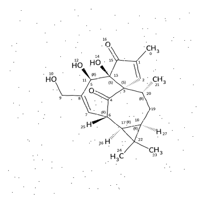 CC1=C[C@]23C(=O)[C@@H](C=C(CO)[C@@H](O)[C@]2(O)C1=O)[C@H]1[C@@H](C[C@H]3C)C1(C)C